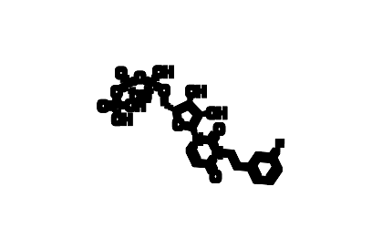 O=c1ccn([C@@H]2O[C@H](COP(=O)(O)OP(=O)(O)OP(=O)(O)O)[C@H](O)[C@@H]2O)c(=O)n1CCc1cccc(F)c1